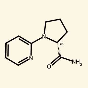 NC(=O)[C@H]1[CH]CCN1c1ccccn1